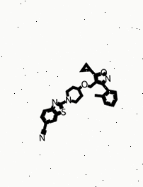 Cc1ccccc1-c1noc(C2CC2)c1COC1CCN(c2nc3ccc(C#N)cc3s2)CC1